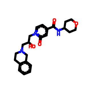 O=C(NC1CCOCC1)c1ccn(CC(O)CN2CCc3ccccc3C2)c(=O)c1